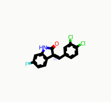 O=C1Nc2cc(F)ccc2/C1=C/c1ccc(Cl)c(Cl)c1